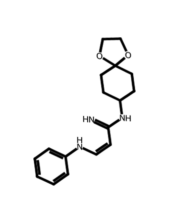 N=C(/C=C\Nc1ccccc1)NC1CCC2(CC1)OCCO2